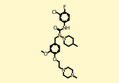 COc1cc(CN(C(=O)Nc2ccc(F)c(Cl)c2)N2CCC(C)CC2)ccc1OCCN1CCN(C)CC1